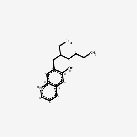 CCCCC(CC)Cc1cc2ncccc2cc1O